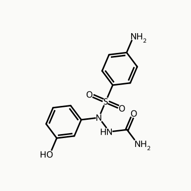 NC(=O)NN(c1cccc(O)c1)S(=O)(=O)c1ccc(N)cc1